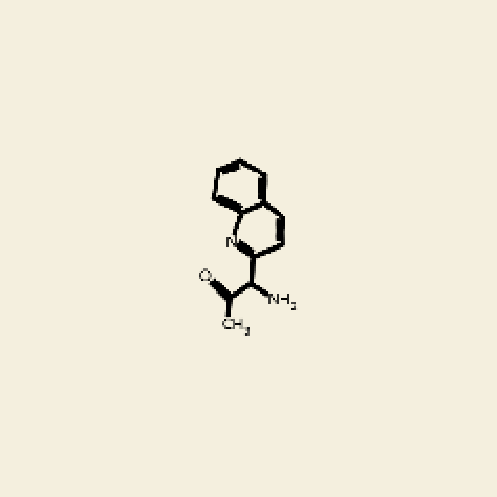 CC(=O)C(N)c1ccc2ccccc2n1